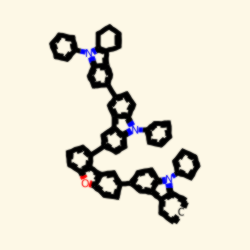 C1=Cc2c(n(-c3ccccc3)c3ccc(-c4ccc5c(c4)c4cc(-c6cccc7oc8ccc(-c9ccc%10c(c9)c9ccccc9n%10-c9ccccc9)cc8c67)ccc4n5-c4ccccc4)cc23)CC1